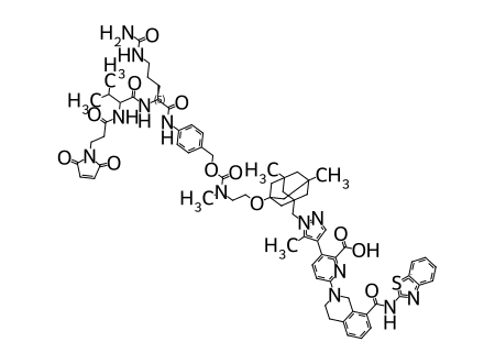 Cc1c(-c2ccc(N3CCc4cccc(C(=O)Nc5nc6ccccc6s5)c4C3)nc2C(=O)O)cnn1CC12CC3(C)CC(C)(C1)CC(OCCN(C)C(=O)OCc1ccc(NC(=O)[C@H](CCCNC(N)=O)NC(=O)C(NC(=O)CCN4C(=O)C=CC4=O)C(C)C)cc1)(C3)C2